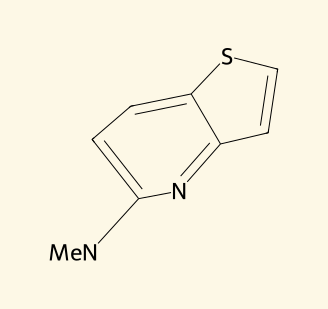 CNc1ccc2sccc2n1